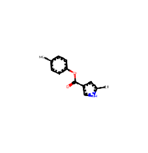 CCc1cc(C(=O)Oc2ccc(C#N)cc2)c[nH]1